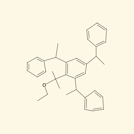 CCOC(C)(C)c1c(C(C)c2ccccc2)cc(C(C)c2ccccc2)cc1C(C)c1ccccc1